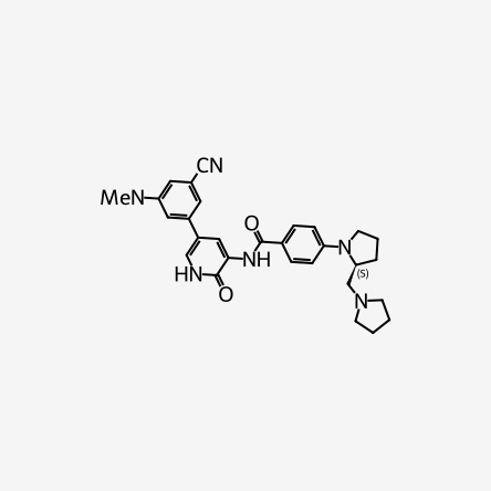 CNc1cc(C#N)cc(-c2c[nH]c(=O)c(NC(=O)c3ccc(N4CCC[C@H]4CN4CCCC4)cc3)c2)c1